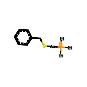 CC[PH](CC)(CC)[Au][S]Cc1ccccc1